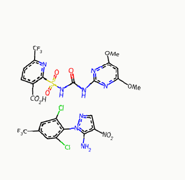 COc1cc(OC)nc(NC(=O)NS(=O)(=O)c2nc(C(F)(F)F)ccc2C(=O)O)n1.Nc1c([N+](=O)[O-])cnn1-c1c(Cl)cc(C(F)(F)F)cc1Cl